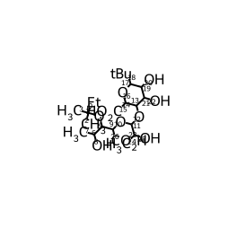 CCC(C)(C)OC(C(C)O)C(OC(OC1C(C(=O)O)OC(C(C)(C)C)C(O)C1O)C(C)O)C(=O)O